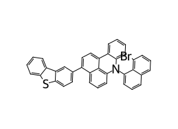 Brc1cccc2cccc(N3c4ccccc4-c4ccc(-c5ccc6sc7ccccc7c6c5)c5cccc3c45)c12